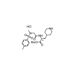 COC(=O)[C@H](CC1CCNCC1)NC(=O)CN(C)S(=O)(=O)c1ccc(C)cc1.Cl